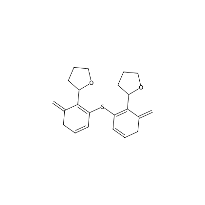 C=C1CC=CC(SC2=C(C3CCCO3)C(=C)CC=C2)=C1C1CCCO1